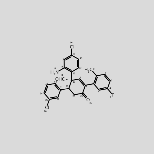 Cc1ccc(F)cc1C1=C[C@](C=O)(c2ccc(Cl)cc2N)[C@H](c2cccc(Cl)c2)CC1=O